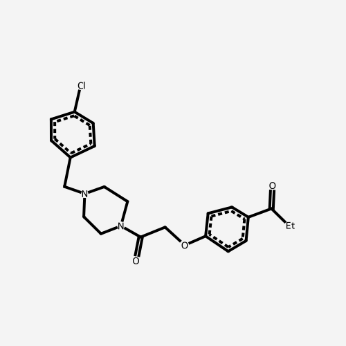 CCC(=O)c1ccc(OCC(=O)N2CCN(Cc3ccc(Cl)cc3)CC2)cc1